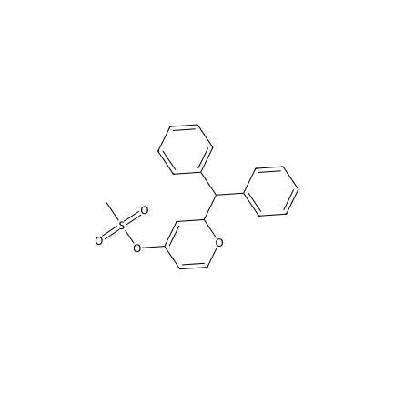 CS(=O)(=O)OC1=CC(C(c2ccccc2)c2ccccc2)OC=C1